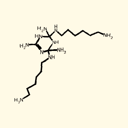 NCCCCCCNC1(N)N=C(N)NC(N)(NCCCCCCN)N1